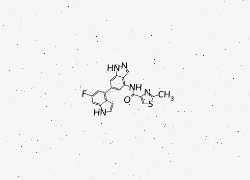 Cc1nc(C(=O)Nc2cc(-c3cc(F)cc4[nH]ccc34)cc3[nH]ncc23)cs1